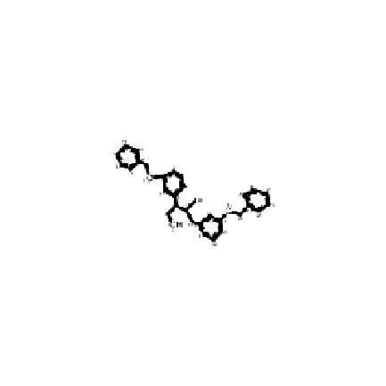 OCC(c1cccc(OCc2ccccc2)c1)C(I)Cc1cccc(OCc2ccccc2)c1